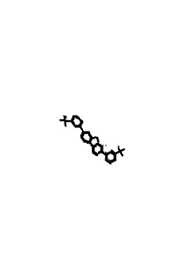 CC(C)(C)c1cccc(-c2[c]c3c(cc2)-c2ccc(-c4cccc(C(C)(C)C)c4)cc2C3)c1